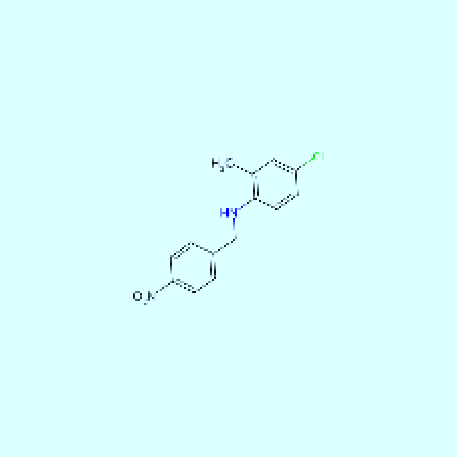 Cc1cc(Cl)ccc1NCc1ccc([N+](=O)[O-])cc1